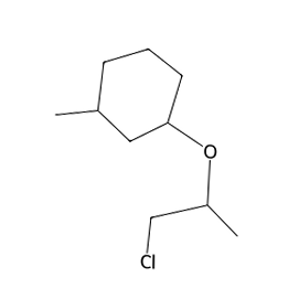 CC1CCCC(OC(C)CCl)C1